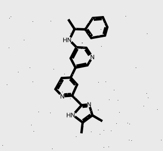 Cc1nc(-c2cc(-c3cncc(NC(C)c4ccccc4)c3)ccn2)[nH]c1C